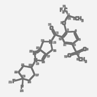 C[C@H](Oc1ccc(S(C)(=O)=O)cc1C(=O)N1Cc2cn(C3CCC(F)(F)CC3)nc2C1)C(F)(F)F